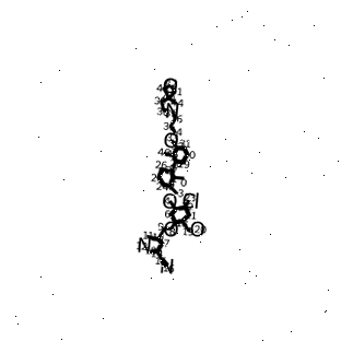 Cc1c(COc2cc(OCc3cncc(C#N)c3)c(C=O)cc2Cl)cccc1-c1cccc(OCCCN2CCC3(COC3)C2)c1C